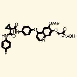 COc1cc2c(Oc3ccc(NC(=O)C4(C(=O)Nc5ccc(F)cc5)CC4)cc3)ccnc2cc1OCC(=O)NO